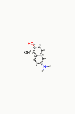 CN(C)c1ccc2c(N=O)c(O)ccc2c1